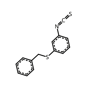 S=C=Nc1cccc(SCc2ccccc2)c1